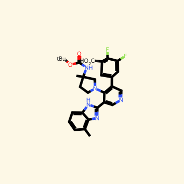 Cc1cccc2[nH]c(-c3cncc(-c4cc(F)c(F)c(C(=O)O)c4)c3N3CCC(C)(NC(=O)OC(C)(C)C)C3)nc12